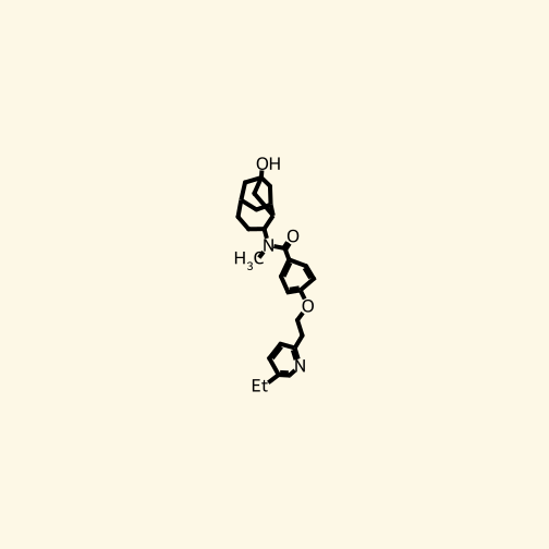 CCc1ccc(CCOc2ccc(C(=O)N(C)C3CCC4CC5CC(O)(C4)CC53)cc2)nc1